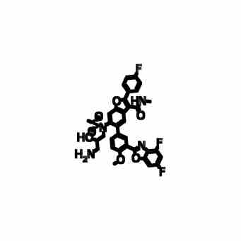 CNC(=O)c1c(-c2ccc(F)cc2)oc2cc(N(CC(O)CN)S(C)(=O)=O)c(-c3ccc(OC)c(-c4nc5c(F)cc(F)cc5o4)c3)cc12